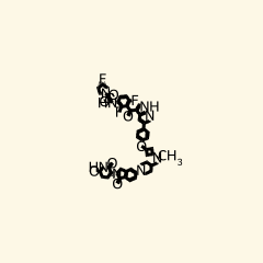 CN(CC1CCN(c2ccc3c(c2)CN([C@H]2CCC(=O)NC2=O)C3=O)CC1)C1CC(Oc2ccc(-c3cnc4[nH]cc(C(=O)c5c(F)ccc(NS(=O)(=O)N6CC[C@@H](F)C6)c5F)c4c3)cc2)C1